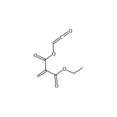 C=C(C(=O)OC=C=O)C(=O)OCC